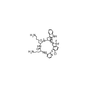 CN1C(=O)C(CCCCN)NC(=O)C(CCCN)NCc2cccnc2Sc2c(Cl)ccc(C(F)(F)F)c2CNC(=O)C1Cc1c[nH]c2ccccc12